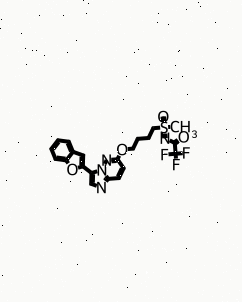 CS(=O)(CCCCOc1ccc2ncc(-c3cc4ccccc4o3)n2n1)=NC(=O)C(F)(F)F